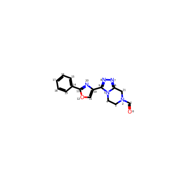 O=CN1CCn2c(nnc2-c2coc(-c3ccccc3)n2)C1